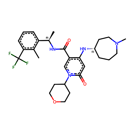 Cc1c([C@@H](C)NC(=O)c2cn(C3CCOCC3)c(=O)cc2N[C@H]2CCCN(C)CC2)cccc1C(F)(F)F